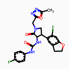 Cc1nnc(CN2CC(c3cc4c(cc3F)OCC4)C(NC(=O)Nc3ccc(F)cc3)C2=O)o1